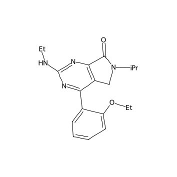 CCNc1nc2c(c(-c3ccccc3OCC)n1)CN(C(C)C)C2=O